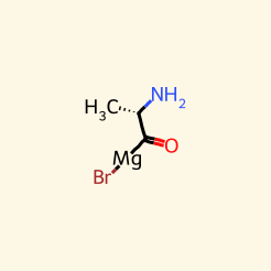 C[C@H](N)[C](=O)[Mg][Br]